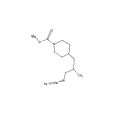 CC(CN=[N+]=[N-])CC1CCN(C(=O)OC(C)(C)C)CC1